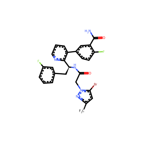 NC(=O)c1cc(-c2cccnc2[C@H](Cc2cccc(F)c2)NC(=O)Cn2nc(C(F)(F)F)cc2Br)ccc1F